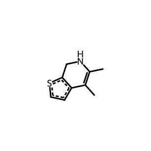 CC1=C(C)c2ccsc2CN1